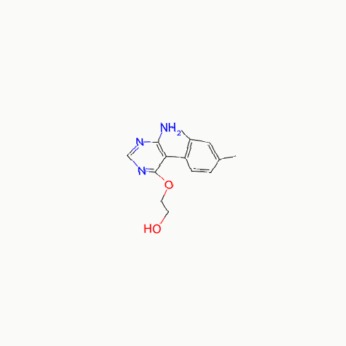 Cc1ccc(-c2c(N)ncnc2OCCO)c(C)c1